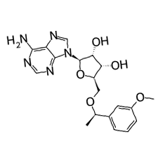 COc1cccc([C@@H](C)OC[C@H]2O[C@@H](n3cnc4c(N)ncnc43)[C@H](O)[C@@H]2O)c1